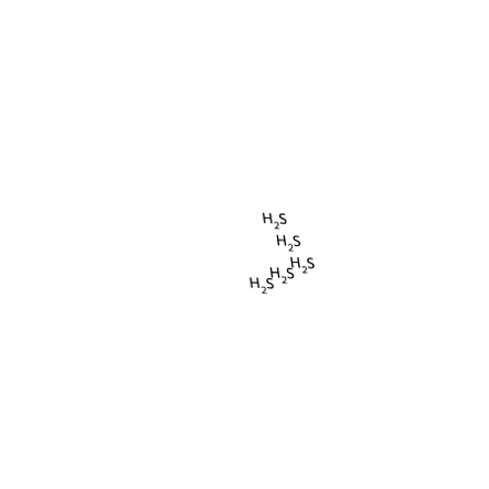 S.S.S.S.S